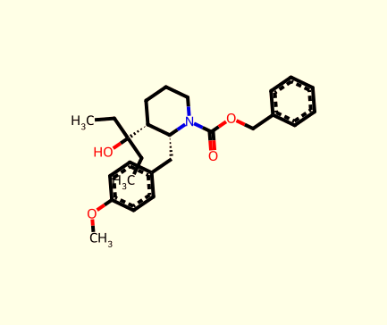 CCC(O)(CC)[C@@H]1CCCN(C(=O)OCc2ccccc2)[C@@H]1Cc1ccc(OC)cc1